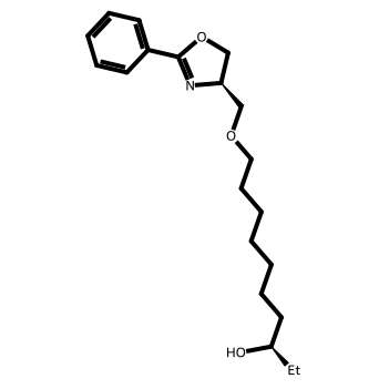 CC[C@@H](O)CCCCCCCOC[C@@H]1COC(c2ccccc2)=N1